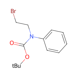 CC(C)(C)OC(=O)N(CCBr)c1ccccc1